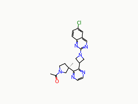 CC(=O)N1CC[C@@](C)(c2nccnc2C2CN(c3ncc4cc(Cl)ccc4n3)C2)C1